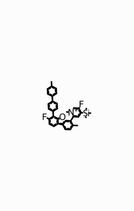 Cc1ccc(-c2ccc(-c3c(F)ccc4c3oc3c(-c5cc([Si](C)(C)C)c(F)c[n+]5C)c(C)ccc34)cc2)cc1